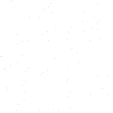 COC1CC(Oc2nn(CC(=O)O)c(=O)c3ccc(Br)cc23)C1